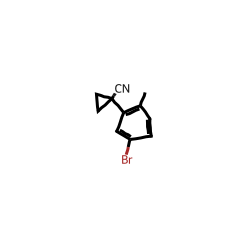 Cc1ccc(Br)cc1C1(C#N)CC1